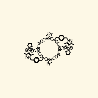 Cc1nn(Cc2ccc(C[C@@H]3CN(C)[C@@H](CC(C)C)CO[C@H](C)CN(C)[C@@H](CC(C)C)CO[C@H](Cc4ccc(Cn5nc(C)c(S(=O)(=O)N6CCCC6)c5C)cc4)CN(C)[C@@H](CC(C)C)CO[C@H](C)CN(C)[C@@H](CC(C)C)CO3)cc2)c(C)c1S(=O)(=O)N1CCCC1